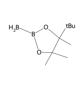 BB1OC(C)(C)C(C)(C(C)(C)C)O1